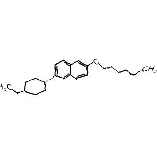 CCCCCCOc1ccc2cc([C@H]3CC[C@H](CC)CC3)ccc2c1